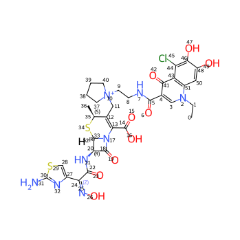 CCn1cc(C(=O)NCC[N+]2(CC3=C(C(=O)O)N4C(=O)[C@@H](NC(=O)/C(=N\O)c5csc(N)n5)[C@H]4S[C@H]3C)CCCC2)c(=O)c2c(Cl)c(O)c(O)cc21